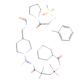 CC(C)(CC(C)(C)C(=O)N=C(N)N1CCC(CNC(=O)[C@@H]2CCCN2C(=O)[C@@H](Cc2ccccc2)NS(C)(=O)=O)CC1)OC(=O)C1CCCCC1.Cl